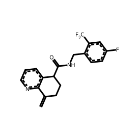 C=C1CCC(C(=O)NCc2ccc(F)cc2C(F)(F)F)c2cccnc21